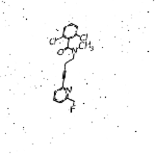 CN(CCC#Cc1cccc(CF)n1)C(=O)c1c(Cl)cccc1Cl